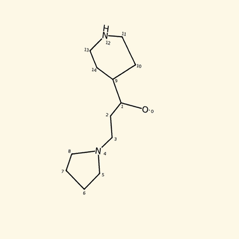 [O]C(CCN1CCCC1)C1CCNCC1